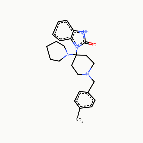 O=c1[nH]c2ccccc2n1C1(N2CCCCC2)CCN(Cc2ccc([N+](=O)[O-])cc2)CC1